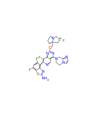 Nc1nc2c(-c3ncc4c(N5CCn6ccnc6C5)nc(OCC56CCCN5C[C@H](F)C6)nc4c3F)c(F)cc(F)c2s1